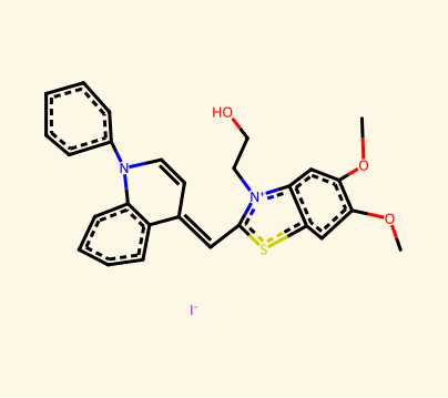 COc1cc2sc(C=C3C=CN(c4ccccc4)c4ccccc43)[n+](CCO)c2cc1OC.[I-]